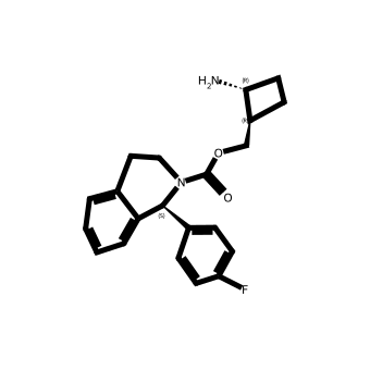 N[C@@H]1CC[C@H]1COC(=O)N1CCc2ccccc2[C@@H]1c1ccc(F)cc1